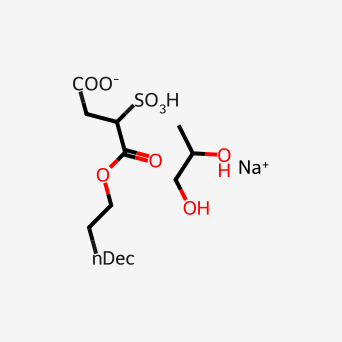 CC(O)CO.CCCCCCCCCCCCOC(=O)C(CC(=O)[O-])S(=O)(=O)O.[Na+]